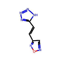 C(=Cc1nnn[nH]1)c1cnon1